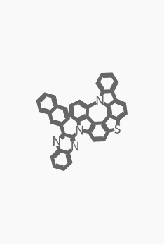 c1ccc2cc(-c3nc4ccccc4nc3-n3c4ccc5sc6ccc7c8ccccc8n8c9cccc3c9c4c5c6c78)ccc2c1